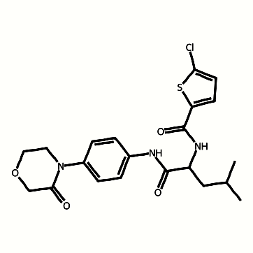 CC(C)CC(NC(=O)c1ccc(Cl)s1)C(=O)Nc1ccc(N2CCOCC2=O)cc1